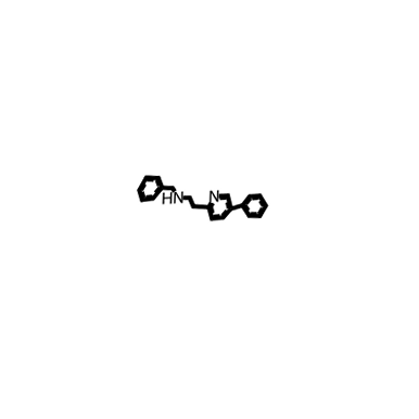 c1ccc(CNCCc2ccc(-c3ccccc3)cn2)cc1